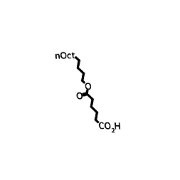 CCCCCCCCCCCCOC(=O)CCCCC(=O)O